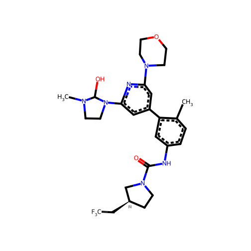 Cc1ccc(NC(=O)N2CC[C@@H](CC(F)(F)F)C2)cc1-c1cc(N2CCOCC2)nc(N2CCN(C)C2O)c1